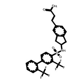 O=C(O)CCc1ccc2c(c1)CC(NS(=O)(=O)c1ccc(-c3ccccc3C(F)(F)F)cc1C(F)(F)F)C2